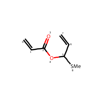 C=CC(=O)OC(C=C)SC